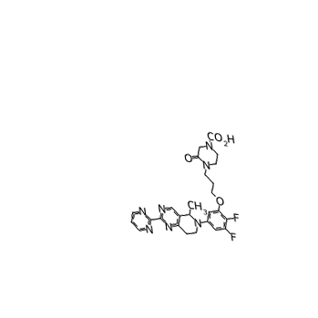 CC1c2cnc(-c3ncccn3)nc2CCN1c1cc(F)c(F)c(OCCCN2CCN(C(=O)O)CC2=O)c1